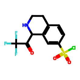 O=C(C1NCCc2ccc(S(=O)(=O)Cl)cc21)C(F)(F)F